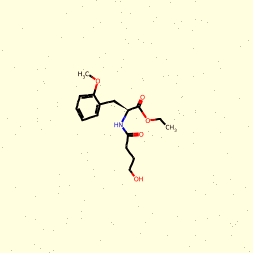 CCOC(=O)[C@H](Cc1ccccc1OC)NC(=O)CCCO